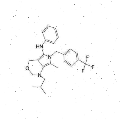 Cc1c2c(c(Nc3ccccc3)n1Cc1ccc(C(F)(F)F)cc1)COCN2CC(C)C